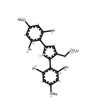 COc1cc(C(C)C)c(-c2cc(CC(=O)O)c(-c3c(C(C)C)cc(OC)cc3C(C)C)s2)c(C(C)C)c1